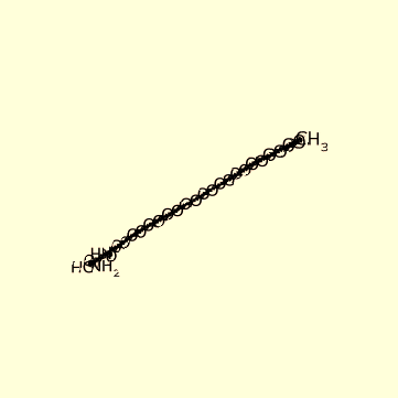 COCCOCCOCCOCCOCCOCCOCCOCCOCCOCCOCCOCCOCCOCCOCCOCCOCCOCCOCCOCCOCCOCCC(=O)NCCCC[C@H](N)C(=O)O